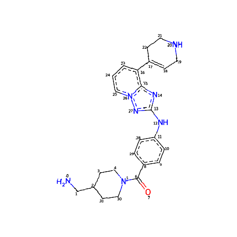 NCC1CCN(C(=O)c2ccc(Nc3nc4c(C5=CCNCC5)cccn4n3)cc2)CC1